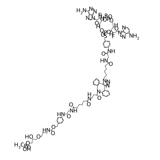 B[P@@]1(=O)OC[C@H]2O[C@@H](n3cnc4c(N)ccnc43)[C@H](F)[C@@H]2O[P@](=O)(SCc2ccc(NC(=O)CNC(=O)CCCCCn3nnc4c3-c3ccccc3CN(C(=O)CCNC(=O)CCCCC(=O)NCC(=O)Nc3ccc(COC(=O)NCCCOCC(O)COP(C)(=O)O)cc3)c3ccccc3-4)cc2)OC[C@H]2O[C@@H](n3cnc4c(N)ncnc43)[C@H](F)[C@@H]2O1